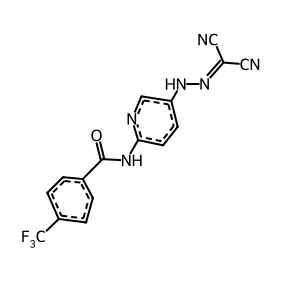 N#CC(C#N)=NNc1ccc(NC(=O)c2ccc(C(F)(F)F)cc2)nc1